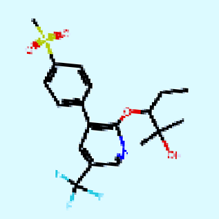 CCC(Oc1ncc(C(F)(F)F)cc1-c1ccc(S(C)(=O)=O)cc1)C(C)(C)O